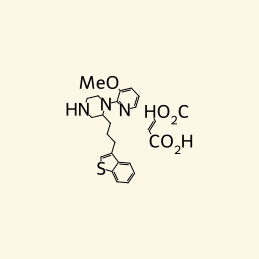 COc1cccnc1N1CCNCC1CCCc1csc2ccccc12.O=C(O)/C=C/C(=O)O